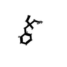 C=CC(C)(Cc1ccccc1)CC(C)C